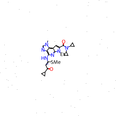 CCn1c(C(=O)N(C2CC2)C2CC2)cc2c3c(ncn3C)c(N/C(=C/C(=O)C3CC3)SC)nc21